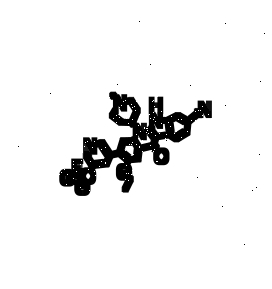 CCOc1cc2c(=O)c3c4ccc(C#N)cc4[nH]c3n(C3CCN(C)CC3)c2cc1-c1cncc(OS(=O)(=O)F)c1